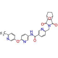 O=C(Nc1ccc(Oc2ccc(C(F)(F)F)nc2)nc1)c1ccc(CN2C(=O)C3C4CCC(O4)C3C2=O)nc1